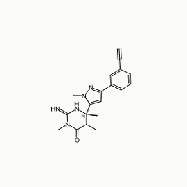 C#Cc1cccc(-c2cc([C@@]3(C)NC(=N)N(C)C(=O)C3C)n(C)n2)c1